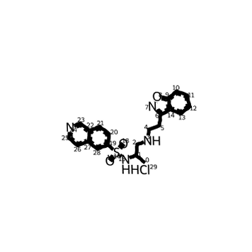 CC(CNCCc1noc2ccccc12)NS(=O)(=O)c1ccc2cnccc2c1.Cl